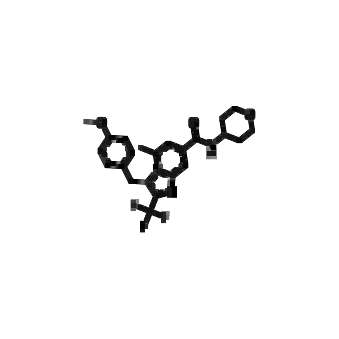 COc1ccc(Cc2c(C(F)(F)F)nc3cc(C(=O)NC4CCOCC4)cc(C)n23)cc1